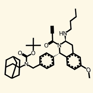 C#CC(=O)N1[C@@H](c2ccc(CN(C(=O)OC(C)(C)C)C34CC5CC(CC(C5)C3)C4)cc2)c2ccc(OC)cc2C[C@@H]1NCCCC